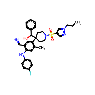 CCCn1cc(S(=O)(=O)N2CCC(c3cc(C=N)c(Nc4ccc(F)cc4)cc3C)(C(O)c3ccccc3)CC2)cn1